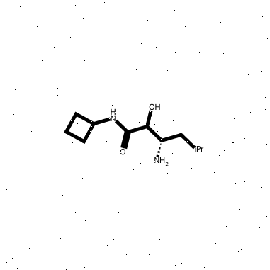 CC(C)C[C@H](N)C(O)C(=O)NC1CCC1